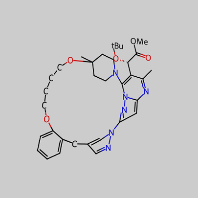 COC(=O)[C@@H](OC(C)(C)C)c1c(C)nc2cc3nn2c1N1CCC(C)(CC1)OCCCCOc1ccccc1Cc1cnn-3c1